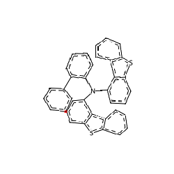 c1ccc(-c2ccccc2N(c2cccc3sc4ccccc4c23)c2cccc3sc4ccccc4c23)cc1